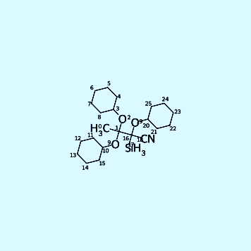 CC(OC1CCCCC1)(OC1CCCCC1)C([SiH3])(C#N)OC1CCCCC1